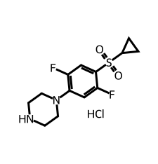 Cl.O=S(=O)(c1cc(F)c(N2CCNCC2)cc1F)C1CC1